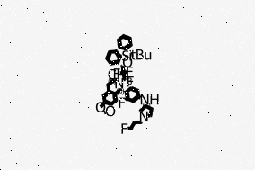 C[C@@H]1Cc2cc3c(cc2[C@@H](c2c(F)cc(N[C@H]4CCN(CCCF)C4)cc2F)N1CC(F)(F)CO[Si](c1ccccc1)(c1ccccc1)C(C)(C)C)OCO3